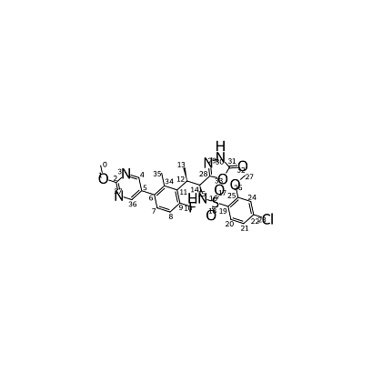 COc1ncc(-c2ccc(F)c([C@@H](C)[C@H](NS(=O)(=O)c3ccc(Cl)cc3OC)c3n[nH]c(=O)o3)c2C)cn1